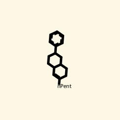 CCCCCC1=CC2CCC(c3ccccc3)CC2CC1